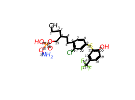 CCCC(CCc1ccc(Sc2cc(C(F)(F)F)ccc2O)cc1Cl)COP(=O)(O)ON